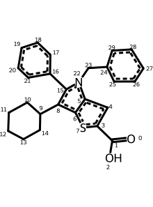 O=C(O)c1cc2c(s1)c(C1CCCCC1)c(-c1ccccc1)n2Cc1ccccc1